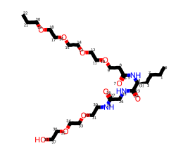 CCCC[C@H](NC(=O)CCOCCOCCOCCOCCC)C(=O)NCC(=O)NCCOCCOCCO